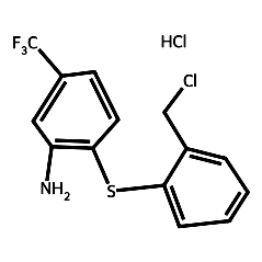 Cl.Nc1cc(C(F)(F)F)ccc1Sc1ccccc1CCl